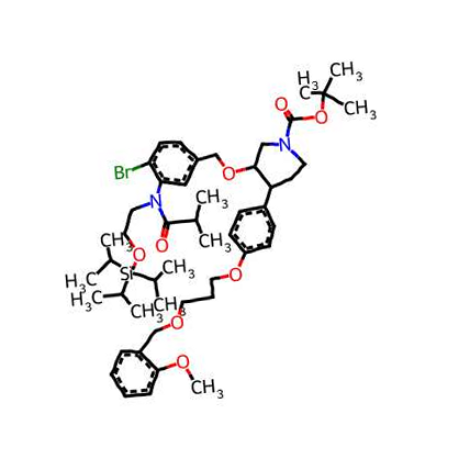 COc1ccccc1COCCCOc1ccc(C2CCN(C(=O)OC(C)(C)C)CC2OCc2ccc(Br)c(N(CCO[Si](C(C)C)(C(C)C)C(C)C)C(=O)C(C)C)c2)cc1